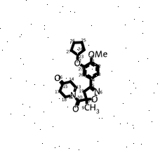 COc1ccc(C2=NOC(C)(C(=O)N3CCC(=O)CC3)C2)cc1OC1CCCC1